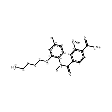 COC(=O)c1ccc(C(=O)N(C)c2ccc(C)cc2OCCCCN)cc1OC